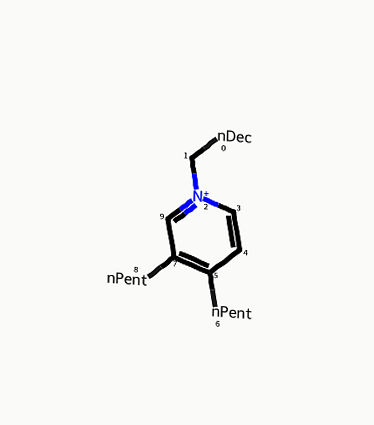 CCCCCCCCCCC[n+]1ccc(CCCCC)c(CCCCC)c1